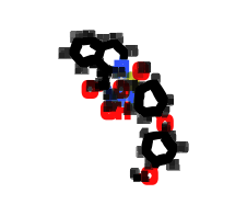 COc1ccc(Oc2ccc(S(=O)(=O)N3CCc4ccccc4[C@@H]3C(=O)NO)cc2)cc1